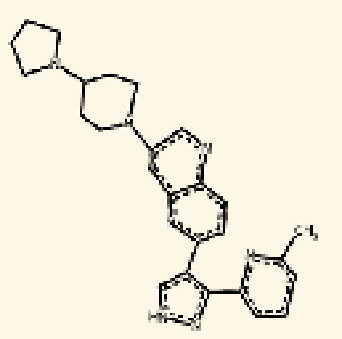 Cc1cccc(-c2n[nH]cc2-c2ccc3ncc(N4CCC(N5CCCC5)CC4)cc3n2)n1